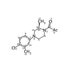 CC(=O)C(=O)N1CCN(c2ccc(Cl)c(C)c2)C[C@H]1C